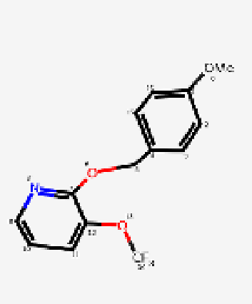 COc1ccc(COc2ncccc2OC(F)(F)F)cc1